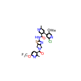 COc1cnc(Cl)cc1-c1cc(C)ncc1C(=O)Nc1nc2c(s1)CN(C(=O)c1ccc(OC(F)(F)F)nc1C)C2